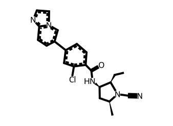 CC[C@@H]1[C@H](NC(=O)c2ccc(-c3ccc4nccn4c3)cc2Cl)C[C@H](C)N1C#N